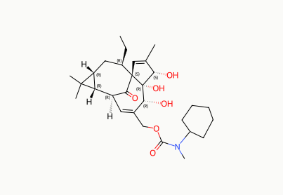 CC[C@@H]1C[C@@H]2[C@H]([C@@H]3C=C(COC(=O)N(C)C4CCCCC4)[C@@H](O)[C@]4(O)[C@@H](O)C(C)=C[C@@]14C3=O)C2(C)C